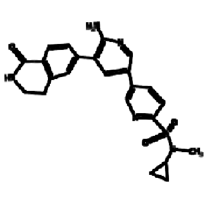 CN(C1CC1)S(=O)(=O)c1ccc(-c2cnc(N)c(-c3ccc4c(c3)CCNC4=O)c2)cn1